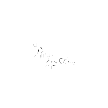 COc1ccc(CNC(=O)c2cn(C)c3ccc(-c4ccc5nc(C6CC6)sc5c4)cc23)cc1OC